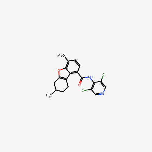 COc1ccc(C(=O)Nc2c(Cl)cncc2Cl)c2c3c(oc12)CC(C)CC3